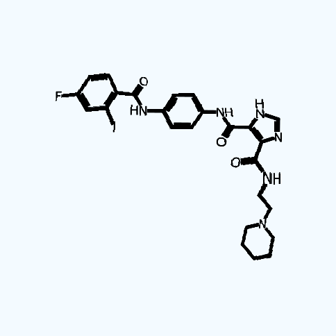 O=C(Nc1ccc(NC(=O)c2[nH]cnc2C(=O)NCCN2CCCCC2)cc1)c1ccc(F)cc1I